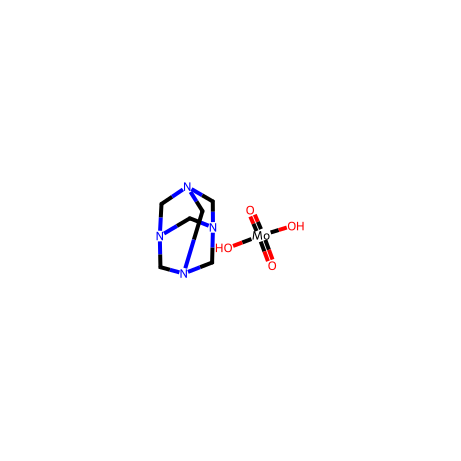 C1N2CN3CN1CN(C2)C3.[O]=[Mo](=[O])([OH])[OH]